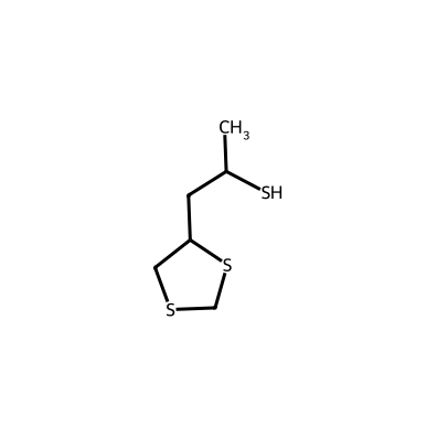 CC(S)CC1CSCS1